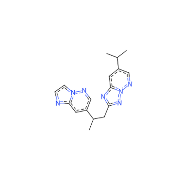 CC(C)c1cnn2nc(CC(C)c3cnn4ccnc4c3)nc2c1